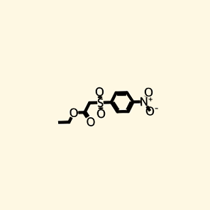 CCOC(=O)CS(=O)(=O)c1ccc([N+](=O)[O-])cc1